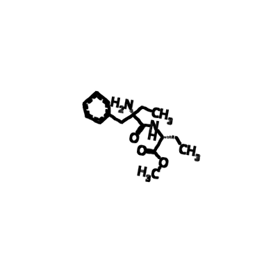 CC[C@@H](NC(=O)[C@](N)(CC)Cc1ccccc1)C(=O)OC